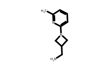 Cc1cccc(N2CC(CN)C2)n1